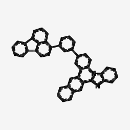 c1cc(-c2ccc3c(c2)c2cc4ccccc4cc2c2nc4ccccc4n32)cc(-c2ccc3c4c(cccc24)-c2ccccc2-3)c1